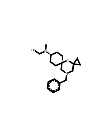 CC(C)CN(C)[C@H]1CC[C@]2(CC1)CN(Cc1ccccc1)CC1(CC1)O2